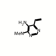 C=Cc1ncnc(NC)c1N